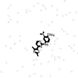 COc1ccc(Nc2nccc(-c3sc(C)nc3C)n2)cc1N(C)C